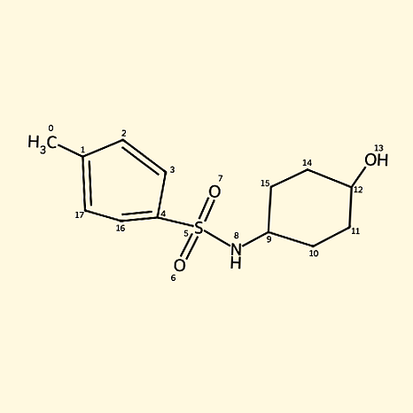 Cc1ccc(S(=O)(=O)NC2CCC(O)CC2)cc1